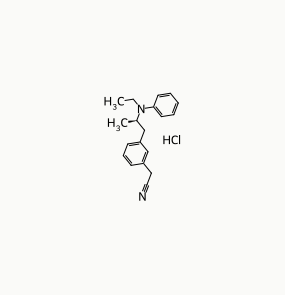 CCN(c1ccccc1)[C@H](C)Cc1cccc(CC#N)c1.Cl